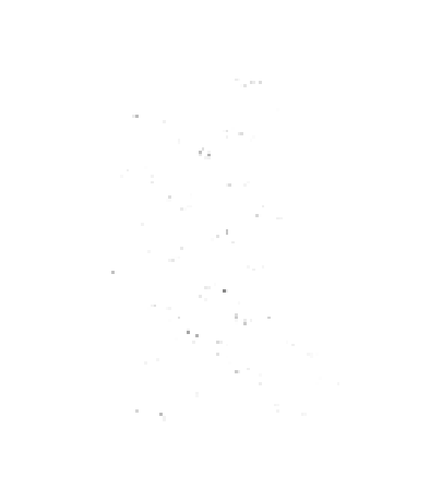 CC1=CC(N(c2ccccc2)c2ccccc2)C2=CCc3c(C)cc(N(c4ccccc4)c4cc5ccccc5cn4)c4ccc1c2c34